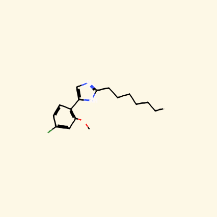 CCCCCCCc1ncc(-c2ccc(Cl)cc2OC)[nH]1